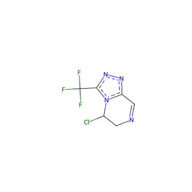 FC(F)(F)c1nnc2n1C(Cl)CN=C2